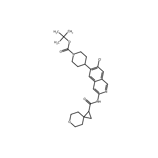 CC(C)(C)OC(=O)N1CCC(c2cc3cc(NC(=O)C4CC45CCOCC5)ncc3cc2Cl)CC1